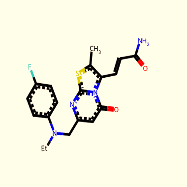 CCN(Cc1cc(=O)n2c(C=CC(N)=O)c(C)sc2n1)c1ccc(F)cc1